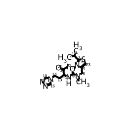 CC(C)c1nc(CN(C)C(=O)NC(CCn2cnnc2)C(=O)I)cs1